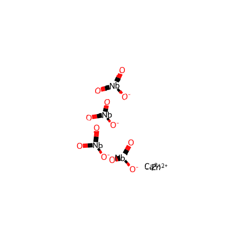 [Ca+2].[O]=[Nb](=[O])[O-].[O]=[Nb](=[O])[O-].[O]=[Nb](=[O])[O-].[O]=[Nb](=[O])[O-].[Zn+2]